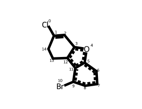 ClC1=Cc2oc3cccc(Br)c3c2CC1